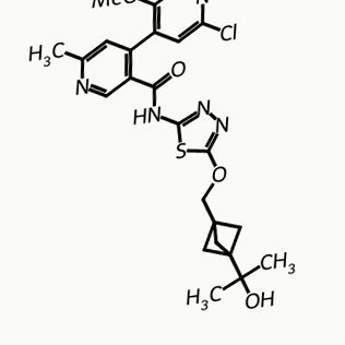 COc1cnc(Cl)cc1-c1cc(C)ncc1C(=O)Nc1nnc(OCC23CC(C(C)(C)O)(C2)C3)s1